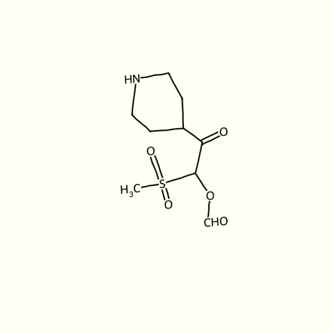 CS(=O)(=O)C(OC=O)C(=O)C1CCNCC1